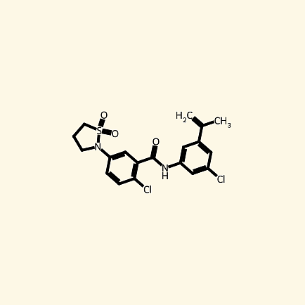 C=C(C)c1cc(Cl)cc(NC(=O)c2cc(N3CCCS3(=O)=O)ccc2Cl)c1